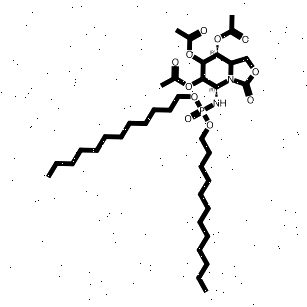 CCCCCCCCCCCCOP(=O)(N[C@@H]1C(OC(C)=O)C(OC(C)=O)[C@H](OC(C)=O)C2COC(=O)N21)OCCCCCCCCCCCC